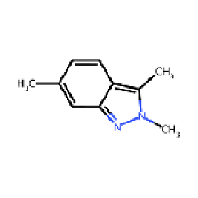 Cc1ccc2c(C)n(C)nc2c1